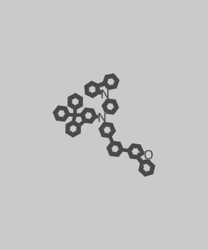 c1ccc(C2(c3ccccc3)c3ccccc3-c3cc(N(c4ccc(-c5cccc(-c6ccc7oc8ccccc8c7c6)c5)cc4)c4cccc(-n5c6ccccc6c6ccccc65)c4)ccc32)cc1